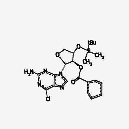 CC(C)(C)[Si](C)(C)OC1CO[C@@H](n2cnc3c(Cl)nc(N)nc32)[C@@H]1OC(=O)c1ccccc1